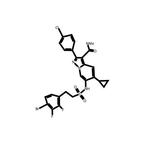 CNC(=O)c1c(-c2ccc(Cl)cc2)nn2cc(NS(=O)(=O)CCc3ccc(Br)c(F)c3F)c(C3CC3)cc12